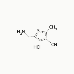 Cc1sc(CN)cc1C#N.Cl